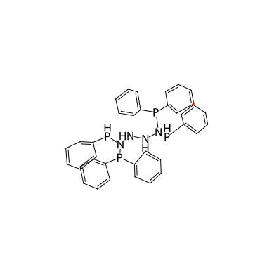 c1ccc(PN(NNN(Pc2ccccc2)P(c2ccccc2)c2ccccc2)P(c2ccccc2)c2ccccc2)cc1